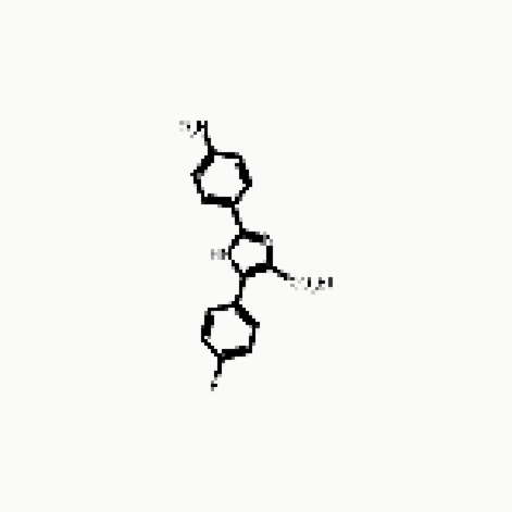 CCOC(=O)c1nc(-c2ccc([N+](=O)[O-])cc2)[nH]c1-c1ccc(F)cc1